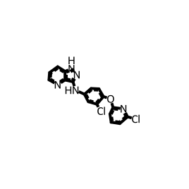 Clc1cccc(Oc2ccc(Nc3n[nH]c4cccnc34)cc2Cl)n1